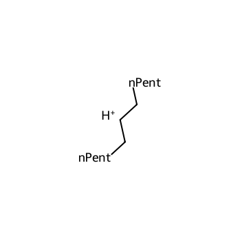 C[CH]CCCCCCCCCCC.[H+]